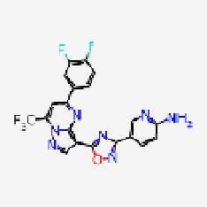 Nc1ccc(-c2noc(-c3cnn4c(C(F)(F)F)cc(-c5ccc(F)c(F)c5)nc34)n2)cn1